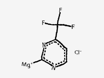 FC(F)(F)c1ccn[c]([Mg+])n1.[Cl-]